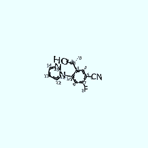 C[C@@H](O)c1cc(C#N)c(F)cc1-n1cccn1